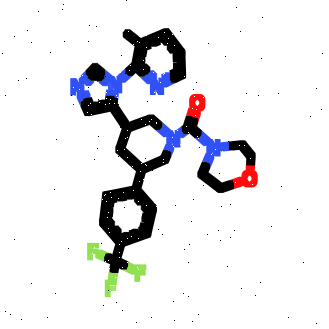 Cc1cccnc1-n1cncc1C1CC(c2ccc(C(F)(F)F)cc2)CN(C(=O)N2CCOCC2)C1